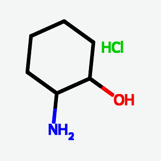 Cl.NC1CCCCC1O